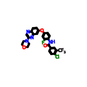 O=C(Nc1ccc(Oc2ccc3ncc(N4CCOCC4)nc3c2)cc1F)c1ccc(Cl)c(C(F)(F)F)c1